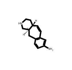 Nc1ccc2c(c1)C=C[C@H]1CCNC[C@@H]1C2